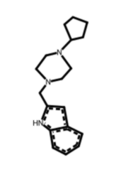 c1ccc2[nH]c(CN3CCN(C4CCCC4)CC3)cc2c1